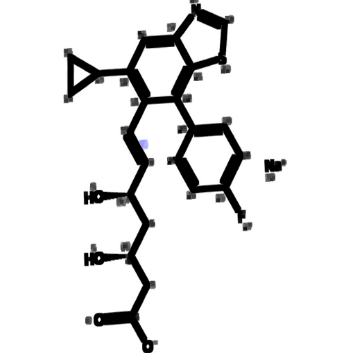 O=C([O-])C[C@H](O)C[C@H](O)/C=C/c1c(C2CC2)cc2ncsc2c1-c1ccc(F)cc1.[Na+]